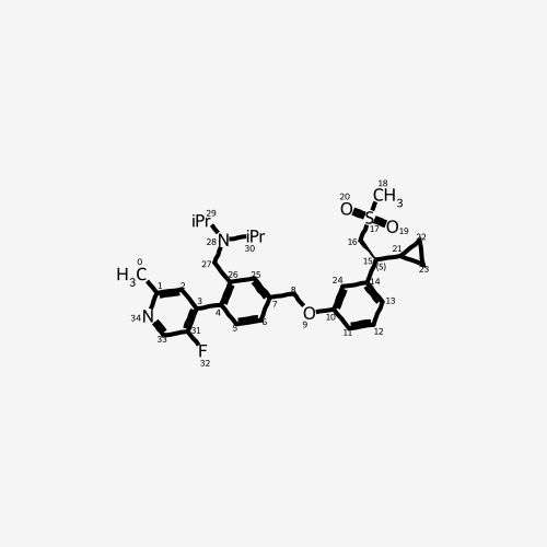 Cc1cc(-c2ccc(COc3cccc([C@@H](CS(C)(=O)=O)C4CC4)c3)cc2CN(C(C)C)C(C)C)c(F)cn1